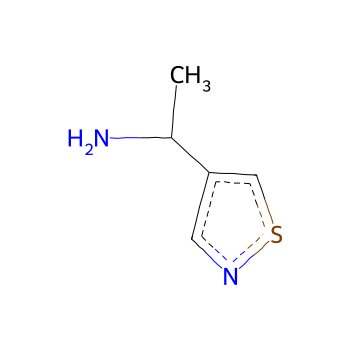 CC(N)c1cnsc1